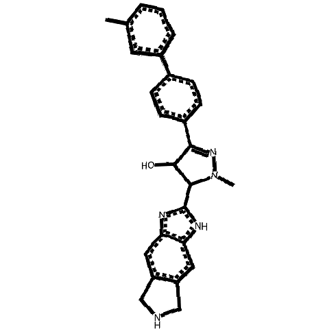 Cc1cccc(-c2ccc(C3=NN(C)C(c4nc5cc6c(cc5[nH]4)CNC6)C3O)cc2)c1